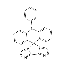 c1ccc(N2c3ccccc3C3(c4ccccc42)c2cccnc2-c2ncccc23)cc1